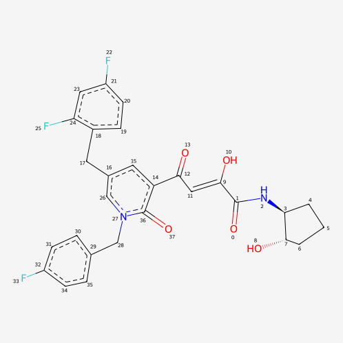 O=C(N[C@H]1CCC[C@@H]1O)/C(O)=C/C(=O)c1cc(Cc2ccc(F)cc2F)cn(Cc2ccc(F)cc2)c1=O